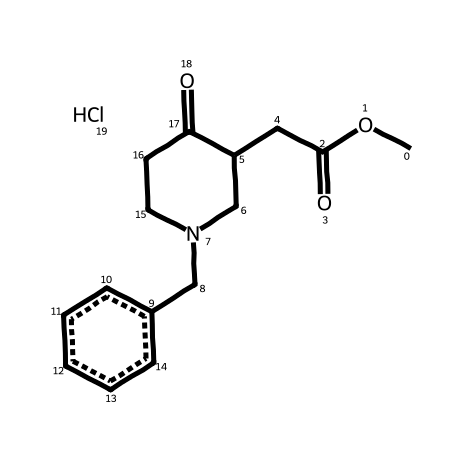 COC(=O)CC1CN(Cc2ccccc2)CCC1=O.Cl